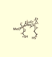 CCO[Si](C)(OCC)OCCS.CO[Si](C)(OC)OCS